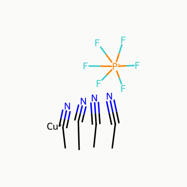 CC#N.CC#N.CC#N.CC#N.F[P-](F)(F)(F)(F)F.[Cu+]